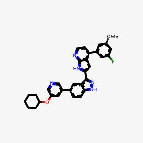 COc1cc(F)cc(-c2ccnc3[nH]c(-c4n[nH]c5ccc(-c6cncc(OC7CCCCC7)c6)cc45)cc23)c1